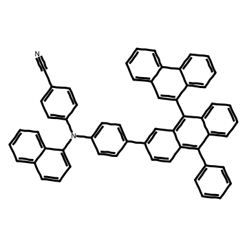 N#Cc1ccc(N(c2ccc(-c3ccc4c(-c5ccccc5)c5ccccc5c(-c5cc6ccccc6c6ccccc56)c4c3)cc2)c2cccc3ccccc23)cc1